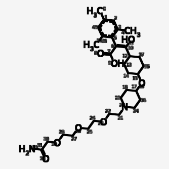 Cc1cc(C)c(/C(C(=O)O)=C(\O)C2CCC(OC3CCN(CCOCCOCCOCC(N)=O)CC3)CC2)c(C)c1